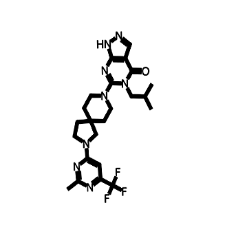 Cc1nc(N2CCC3(CCN(c4nc5[nH]ncc5c(=O)n4CC(C)C)CC3)C2)cc(C(F)(F)F)n1